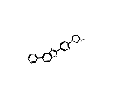 C[C@H]1CCN(c2ccc(-c3nc4cc(-c5cccnc5)ccc4s3)cn2)C1